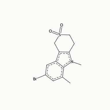 Cc1cc(Br)cc2c3c(n(C)c12)CCS(=O)(=O)C3